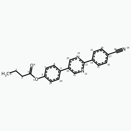 CCCC(=O)Oc1ccc(-c2cnc(-c3ccc(C#N)cc3)nc2)cc1